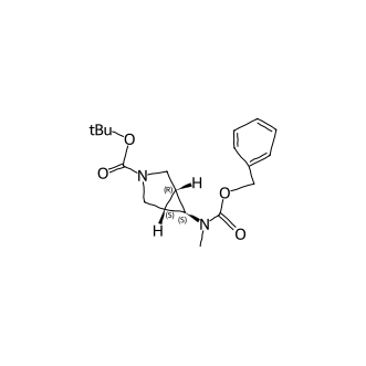 CN(C(=O)OCc1ccccc1)[C@H]1[C@@H]2CN(C(=O)OC(C)(C)C)C[C@@H]21